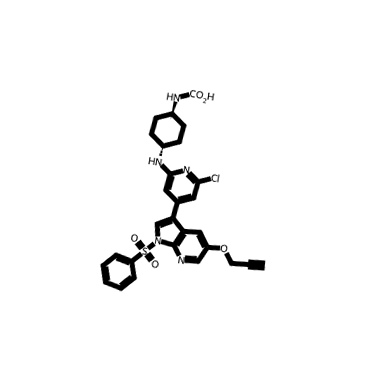 C#CCOc1cnc2c(c1)c(-c1cc(Cl)nc(N[C@H]3CC[C@H](NC(=O)O)CC3)c1)cn2S(=O)(=O)c1ccccc1